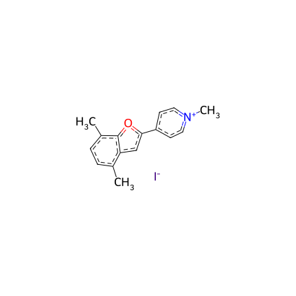 Cc1ccc(C)c2oc(-c3cc[n+](C)cc3)cc12.[I-]